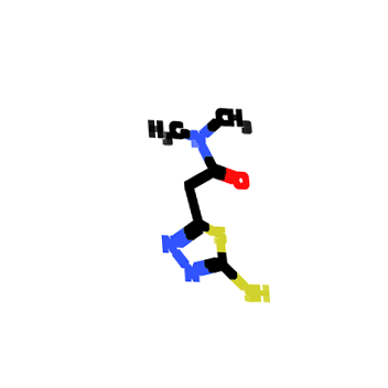 CN(C)C(=O)Cc1nnc(S)s1